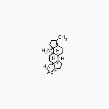 CC(=O)[C@@H]1CC[C@@H]2[C@H]3CCC4=C(C)CC[C@@]4(N)[C@@H]3CC[C@]21C